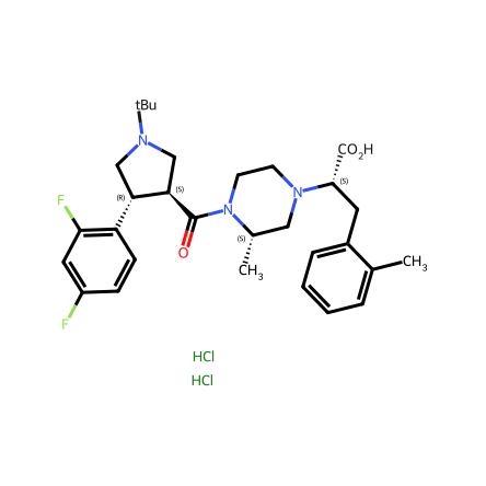 Cc1ccccc1C[C@@H](C(=O)O)N1CCN(C(=O)[C@@H]2CN(C(C)(C)C)C[C@H]2c2ccc(F)cc2F)[C@@H](C)C1.Cl.Cl